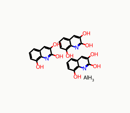 Oc1cc2cccc(O)c2nc1O.Oc1cc2cccc(O)c2nc1O.Oc1cc2cccc(O)c2nc1O.[AlH3]